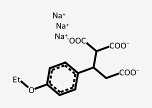 CCOc1ccc(C(CC(=O)[O-])C(C(=O)[O-])C(=O)[O-])cc1.[Na+].[Na+].[Na+]